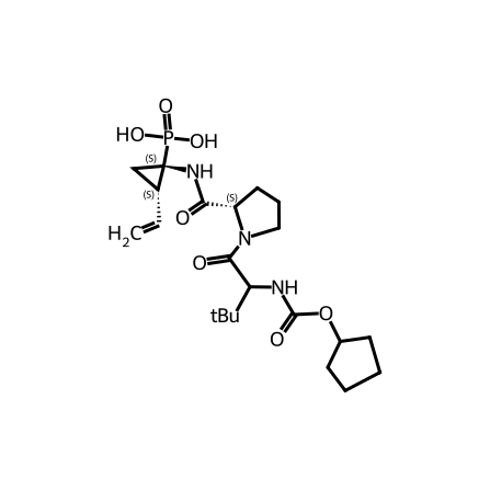 C=C[C@@H]1C[C@]1(NC(=O)[C@@H]1CCCN1C(=O)C(NC(=O)OC1CCCC1)C(C)(C)C)P(=O)(O)O